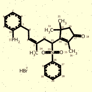 Br.CC(=CCc1ccccc1P)CC(C1=C(C)C(=O)CC1(C)C)S(=O)(=O)c1ccccc1